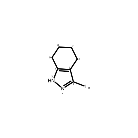 Ic1n[nH]c2c1CCCC2